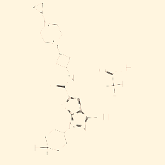 Cc1nn(C2CCC(F)(F)CC2)c2sc(C(=O)NC3CC(N4CCN(C5CC5)CC4)C3)cc12.O=C(O)C(F)(F)F